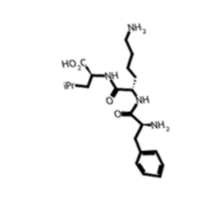 CC(C)C[C@H](NC(=O)[C@H](CCCCN)NC(=O)[C@@H](N)Cc1ccccc1)C(=O)O